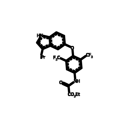 CCOC(=O)C(=O)Nc1cc(C(F)(F)F)c(Oc2ccc3[nH]cc(C(C)C)c3c2)c(C(F)(F)F)c1